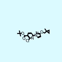 CC1(COc2ccn(-c3ccc(C(=O)OC(C)(C)C)c(Cl)n3)n2)CC1